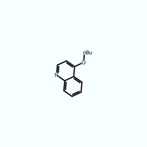 CCCCOc1ccnc2ccccc12